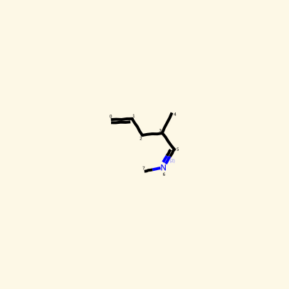 C=CCC(C)/C=N\C